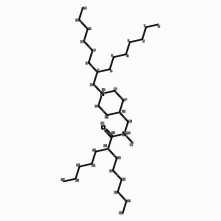 CCCCCCCC(CCCCCC)CN1CCC(CN(C)C(=O)C(CCCCC)CCCCCC)CC1